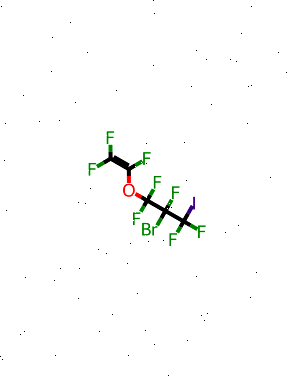 FC(F)=C(F)OC(F)(F)C(F)(Br)C(F)(F)I